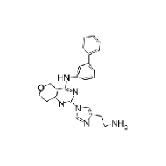 NCCc1cn(-c2nc3c(c(Nc4cccc(-c5ccccc5)c4)n2)COCC3)cn1